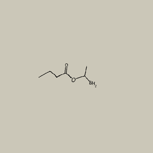 BC(C)OC(=O)CCC